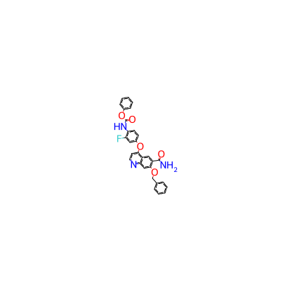 NC(=O)c1cc2c(Oc3ccc(NC(=O)Oc4ccccc4)c(F)c3)ccnc2cc1OCc1ccccc1